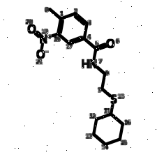 Cc1ccc(C(=O)NCCSC2CCCCC2)cc1[N+](=O)[O-]